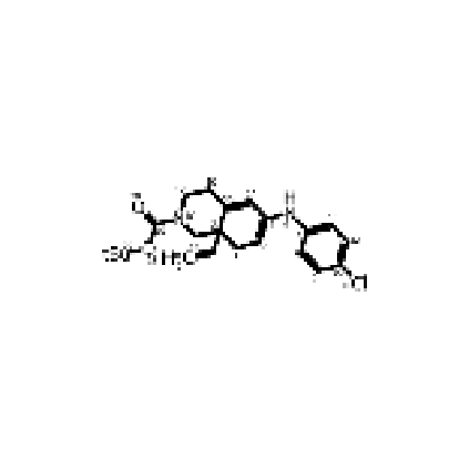 C=CC12CC=C(Nc3ccc(Cl)cc3)C=C1CCN(C(=O)OC(C)(C)C)C2